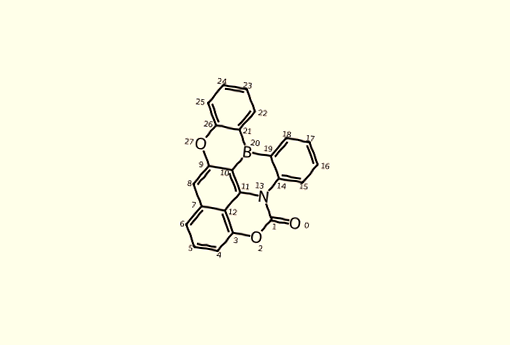 O=C1Oc2cccc3cc4c5c(c23)N1c1ccccc1B5c1ccccc1O4